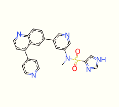 CN(c1cncc(-c2ccc3nccc(-c4ccncc4)c3c2)c1)S(=O)(=O)c1c[nH]cn1